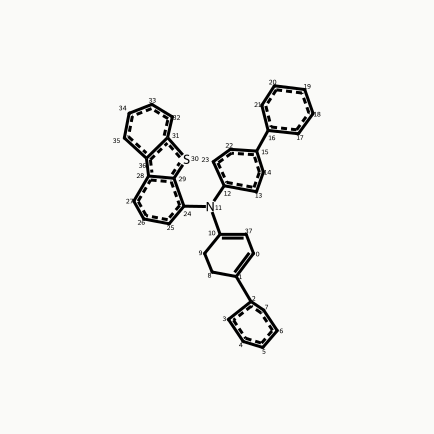 C1=C(c2ccccc2)CCC(N(c2ccc(-c3ccccc3)cc2)c2cccc3c2sc2ccccc23)=C1